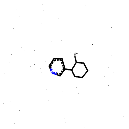 CC(C)C1CCCCC1c1cccnc1